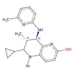 CC(=O)N1c2ccc(O)nc2[C@H](Nc2cccc(C)n2)[C@@H](C)C1C1CC1